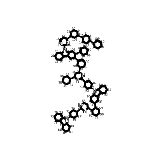 c1ccc(-c2ccc(-c3cccc(-c4ccnc(-n5c6ccccc6c6cc(-c7cccc(-c8cc(-c9ccccc9)nc(-c9ccc(-n%10c%11ccccc%11c%11cc(-c%12ccccc%12-c%12ccnc(-c%13ccc(-n%14c%15ccccc%15c%15ccccc%15%14)cc%13)n%12)ccc%11%10)cc9)n8)c7)c(-c7ccccc7)cc65)n4)c3)cc2)cc1